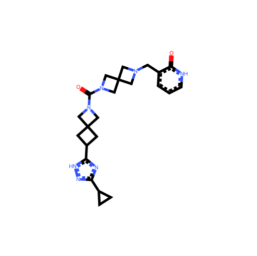 O=C(N1CC2(CC(c3nc(C4CC4)n[nH]3)C2)C1)N1CC2(CN(Cc3ccc[nH]c3=O)C2)C1